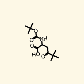 CC(C)(C)OC(=O)NC(CC(=O)C(C)(C)C)C(=O)O